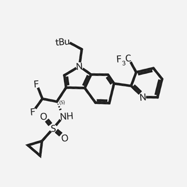 CC(C)(C)Cn1cc([C@H](NS(=O)(=O)C2CC2)C(F)F)c2ccc(-c3ncccc3C(F)(F)F)cc21